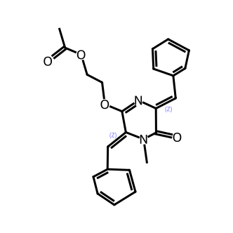 CC(=O)OCCOc1n/c(=C\c2ccccc2)c(=O)n(C)/c1=C\c1ccccc1